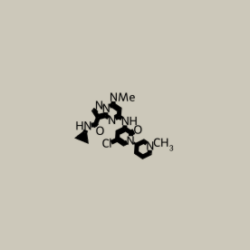 CNc1cc(Nc2cc(Cl)cn([C@@H]3CCCN(C)C3)c2=O)nc2c(C(=O)NC3CC3)cnn12